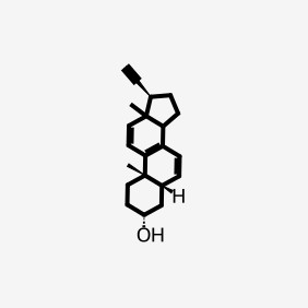 C#C[C@H]1CCC2C3=C(C=CC21C)[C@@]1(C)CC[C@@H](O)C[C@H]1C=C3